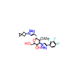 CO[C@@H]1[C@@H](n2cc(-c3ccc(F)c(F)c3F)nn2)[C@@H](O)[C@@H](CO)O[C@@H]1Cc1cn(C2CC3(CC3)C2)nn1